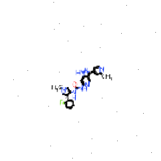 Cc1cc(-c2n[nH]c3cc(NC(=O)N[C@@H]4CN(C)C[C@H]4c4ccccc4F)ncc23)ccn1